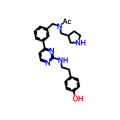 CC(=O)N(Cc1cccc(-c2ccnc(NCCc3ccc(O)cc3)n2)c1)CC1CCNC1